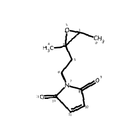 CC1OC1(C)CCN1C(=O)C=CC1=O